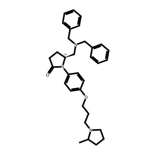 CC1CCCN1CCCOc1ccc(N2C(=O)CC[C@H]2CN(Cc2ccccc2)Cc2ccccc2)cc1